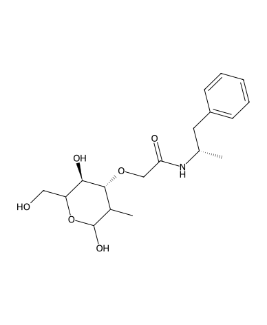 CC1C(O)OC(CO)[C@@H](O)[C@@H]1OCC(=O)N[C@@H](C)Cc1ccccc1